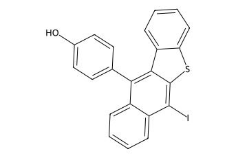 Oc1ccc(-c2c3ccccc3c(I)c3sc4ccccc4c23)cc1